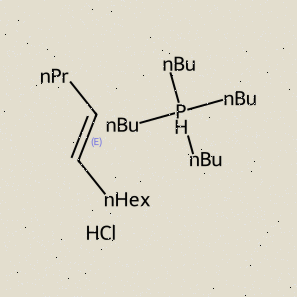 CCC/C=C/CCCCCC.CCCC[PH](CCCC)(CCCC)CCCC.Cl